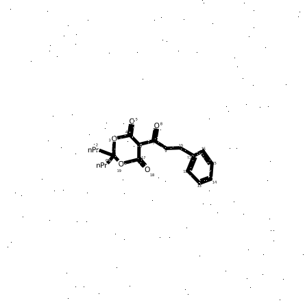 CCCC1(CCC)OC(=O)C(C(=O)CCc2ccccc2)C(=O)O1